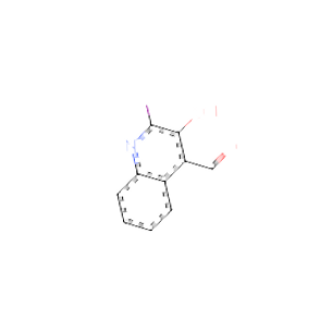 O=Cc1c(O)c(I)nc2ccccc12